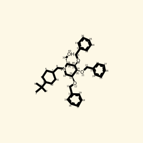 CC(C)(C)C1CCC(CN2C[C@H](OCc3ccccc3)[C@@H](OCc3ccccc3)[C@H](OCc3ccccc3)[C@H]2CO)CC1